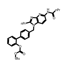 CCCC(=O)Nc1ccc2c(n1)nc(CCC)n2Cc1ccc(-c2ccccc2OC(=O)OC(C)(C)C)cc1